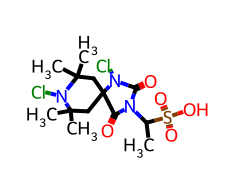 CC(N1C(=O)N(Cl)C2(CC(C)(C)N(Cl)C(C)(C)C2)C1=O)S(=O)(=O)O